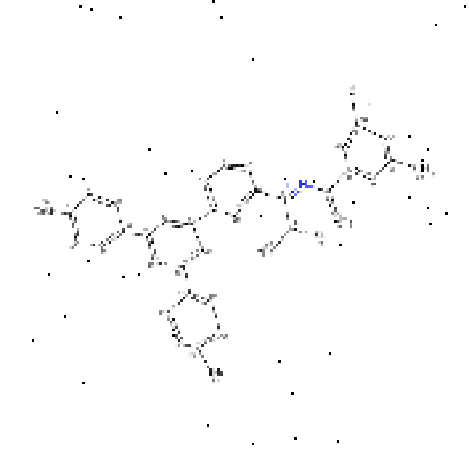 C=C(/N=C(/c1cccc(-c2cc(-c3ccc(C(C)(C)C)cc3)cc(-c3ccc(C(C)(C)C)cc3)c2)c1)C(CC)CCC)c1cc(C)cc(C)c1